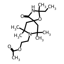 CCC1(C)NC(=O)C2(CC(C)(C)N(CCOC(C)=O)C(C)(C)C2)O1